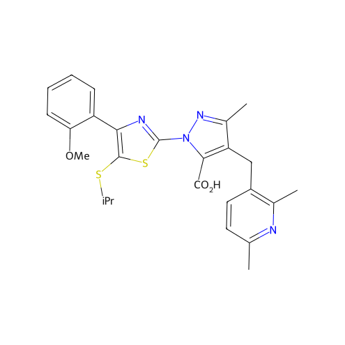 COc1ccccc1-c1nc(-n2nc(C)c(Cc3ccc(C)nc3C)c2C(=O)O)sc1SC(C)C